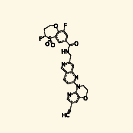 C#Cc1cnc2c(c1)OCCN2c1ccc2cnc(CNC(=O)c3cc(F)c4c(c3)S(=O)(=O)[C@@H](F)CCO4)cc2n1